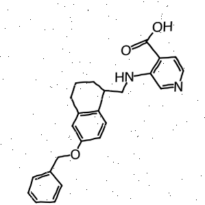 O=C(O)c1ccncc1NCC1CCCc2cc(OCc3ccccc3)ccc21